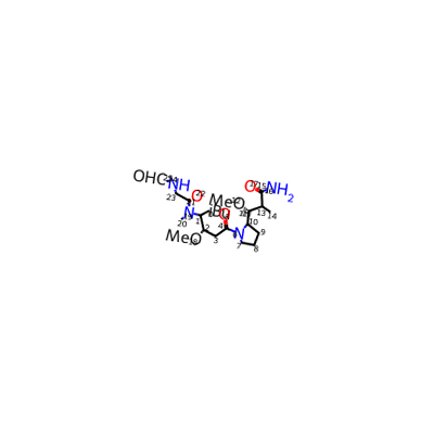 CCC(C)C(C(CC(=O)N1CCCC1[C@H](OC)C(C)C(N)=O)OC)N(C)C(=O)CNC=O